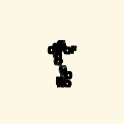 O=C(N[C@@H](Cc1ccc(C2=CCN(C(=O)c3cnnc4ccccc34)CC2)cc1)C(=O)O)c1ccc(F)cc1Cl